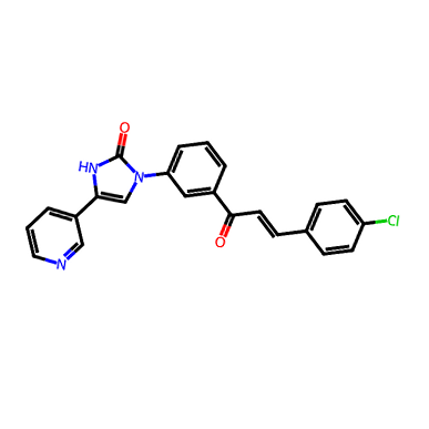 O=C(C=Cc1ccc(Cl)cc1)c1cccc(-n2cc(-c3cccnc3)[nH]c2=O)c1